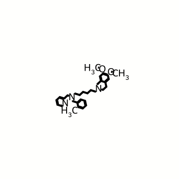 COc1cc2c(cc1OC)CN(CCCCCCN(Cc1ccccn1)Cc1ccccc1C)CC2